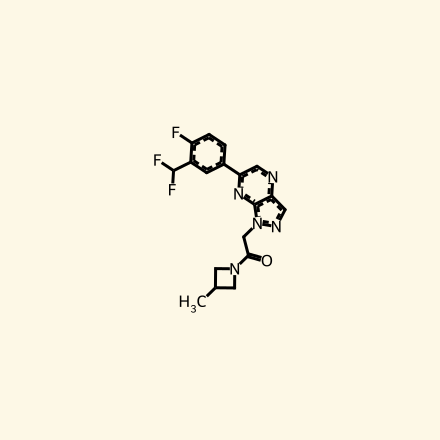 CC1CN(C(=O)Cn2ncc3ncc(-c4ccc(F)c(C(F)F)c4)nc32)C1